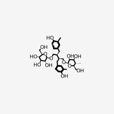 Cc1cc(C[C@H](CO[C@@H]2O[C@H](CO)[C@@H](O)[C@H](O)[C@H]2O)[C@@H](CO[C@@H]2O[C@H](CO)[C@@H](C)[C@H](O)[C@H]2O)Cc2ccc(O)c(C)c2)ccc1O